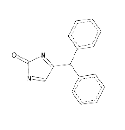 O=C1N=CC(C(c2ccccc2)c2ccccc2)=N1